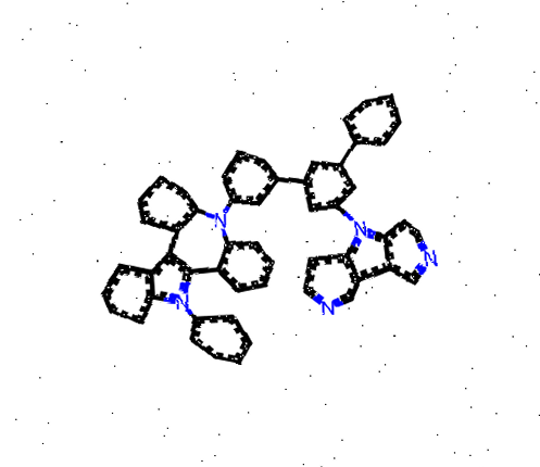 c1ccc(-c2cc(-c3cccc(N4c5ccccc5-c5c(n(-c6ccccc6)c6ccccc56)-c5ccccc54)c3)cc(-n3c4ccncc4c4cnccc43)c2)cc1